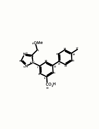 COCc1ncnn1-c1cc(C(=O)O)cc(-c2ccc(C)cc2)c1